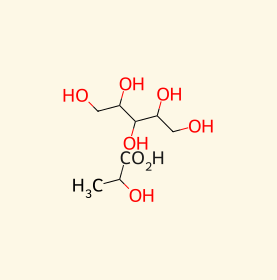 CC(O)C(=O)O.OCC(O)C(O)C(O)CO